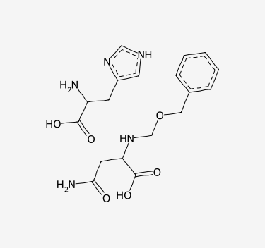 NC(=O)CC(NCOCc1ccccc1)C(=O)O.NC(Cc1c[nH]cn1)C(=O)O